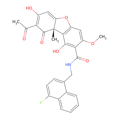 COc1cc2c(c(O)c1C(=O)NCc1ccc(F)c3ccccc13)[C@]1(C)C(=O)C(C(C)=O)=C(O)C=C1O2